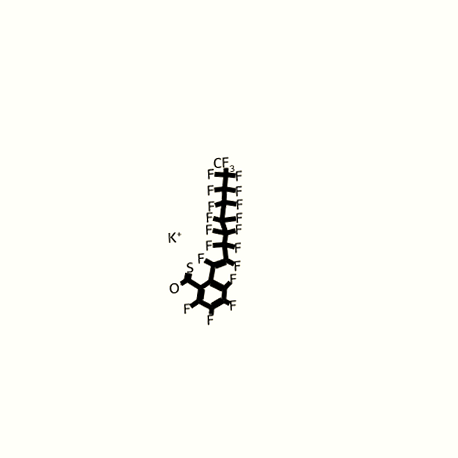 [K+].[O-]C(=S)c1c(F)c(F)c(F)c(F)c1C(F)=C(F)C(F)(F)C(F)(F)C(F)(F)C(F)(F)C(F)(F)C(F)(F)C(F)(F)F